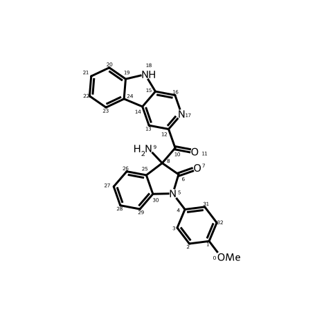 COc1ccc(N2C(=O)C(N)(C(=O)c3cc4c(cn3)[nH]c3ccccc34)c3ccccc32)cc1